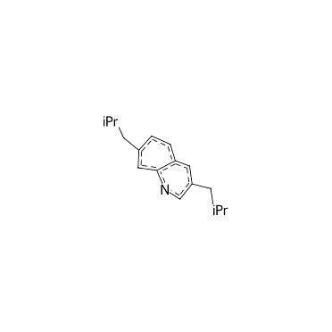 CC(C)Cc1cnc2cc(CC(C)C)ccc2c1